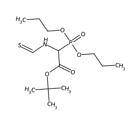 CCCOP(=O)(OCCC)C(NC=S)C(=O)OC(C)(C)C